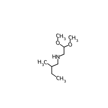 CCC(C)CNCC(OC)OC